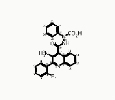 Nc1c(-c2ccccc2F)nc2ccccc2c1C(=O)NN(C(=O)O)c1ccccc1